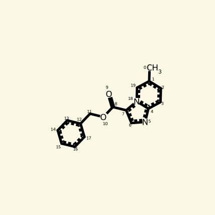 Cc1ccc2ncc(C(=O)OCc3ccccc3)n2c1